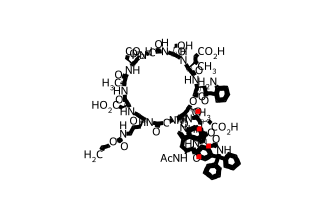 C=CCOC(=O)NCCC[C@@H]1NC(=O)CNC(=O)[C@@H](NC(=O)[C@H](CC(=O)O)NC(=O)[C@H](CC(=O)NC(c2ccccc2)(c2ccccc2)c2ccccc2)NC(=O)[C@H](Cc2c[nH]c3ccccc23)NC(C)=O)[C@@H](C)OC(=O)[C@H](CC(=O)c2ccccc2N)NC(=O)[C@H](C(C)CC(=O)O)NC(=O)[C@@H](CO)NC(=O)CNC(=O)[C@H](CC(=O)O)NC(=O)[C@@H](C)NC(=O)[C@H](CC(=O)O)NC1=O